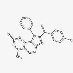 Cc1cc(=O)oc2c1ccc1oc(C(=O)c3ccc(Cl)cc3)c(-c3ccccc3)c12